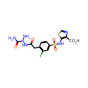 NC(=O)N(N)NC(=O)Cc1ccc(S(=O)(=O)Nc2scnc2C(=O)O)cc1F